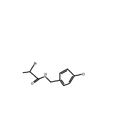 CC(Br)C(=O)NCc1ccc(Cl)cc1